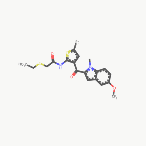 CCc1cc(C(=O)c2cc3cc(OC(F)(F)F)ccc3n2C)c(NC(=O)CSCC(=O)O)s1